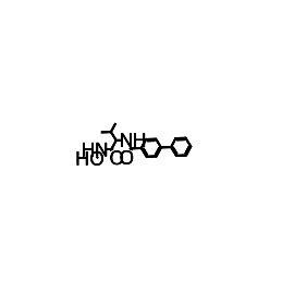 CC(C)C(NC(=O)c1ccc(-c2ccccc2)cc1)C(=O)NO